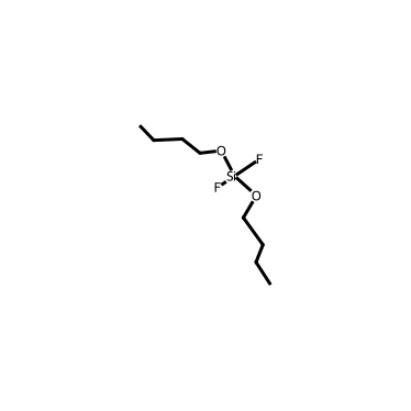 CCCCO[Si](F)(F)OCCCC